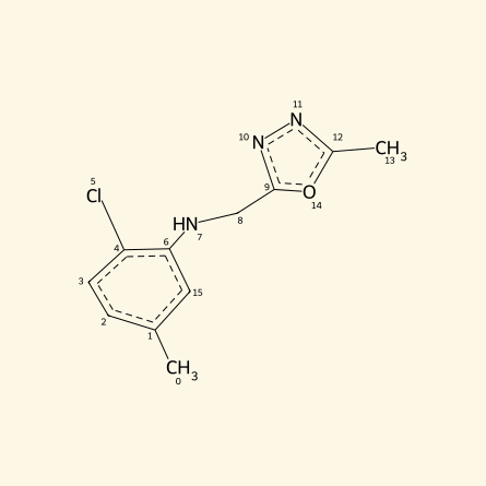 Cc1ccc(Cl)c(NCc2nnc(C)o2)c1